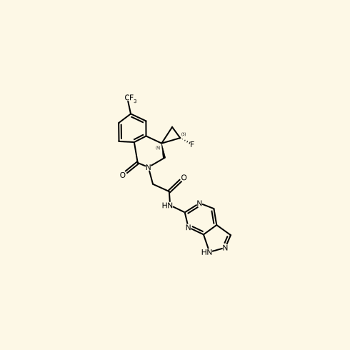 O=C(CN1C[C@]2(C[C@@H]2F)c2cc(C(F)(F)F)ccc2C1=O)Nc1ncc2cn[nH]c2n1